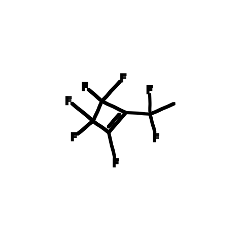 CC(F)(F)C1=C(F)C(F)(F)C1(F)F